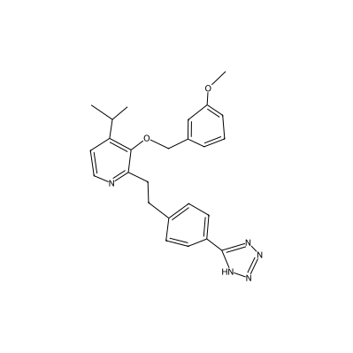 COc1cccc(COc2c(C(C)C)ccnc2CCc2ccc(-c3nnn[nH]3)cc2)c1